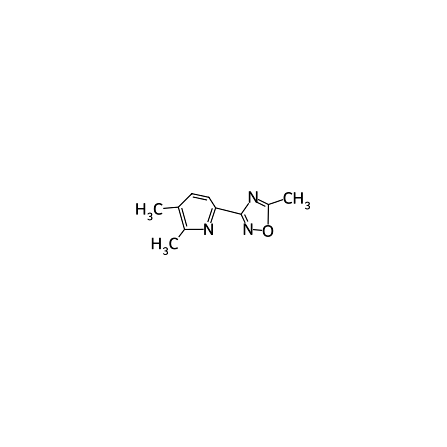 Cc1nc(-c2ccc(C)c(C)n2)no1